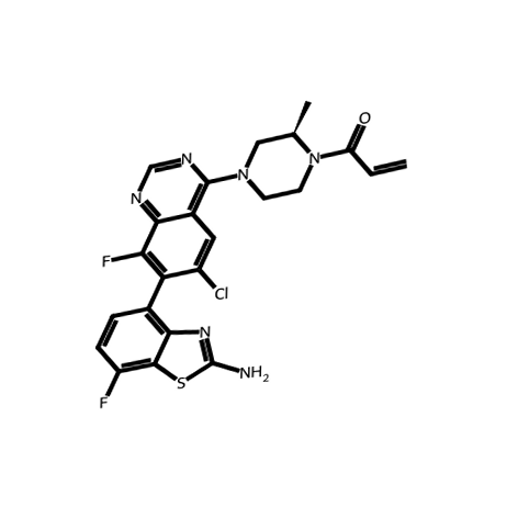 C=CC(=O)N1CCN(c2ncnc3c(F)c(-c4ccc(F)c5sc(N)nc45)c(Cl)cc23)C[C@H]1C